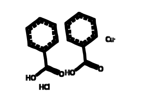 Cl.O=C(O)c1ccccc1.O=C(O)c1ccccc1.[Cu]